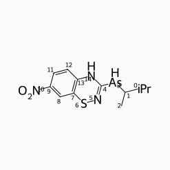 CC(C)C(C)[AsH]C1=NSc2cc([N+](=O)[O-])ccc2N1